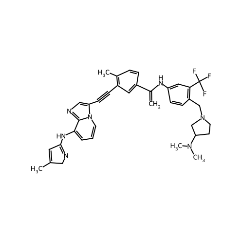 C=C(Nc1ccc(CN2CCC(N(C)C)C2)c(C(F)(F)F)c1)c1ccc(C)c(C#Cc2cnc3c(NC4=NCC(C)=C4)cccn23)c1